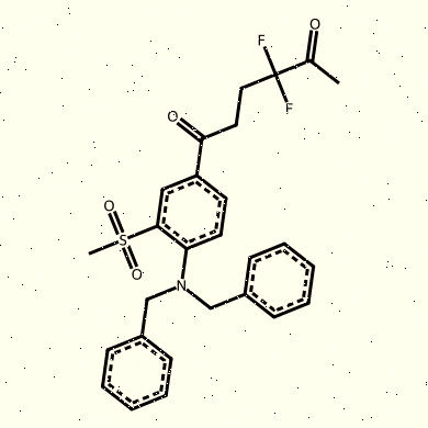 CC(=O)C(F)(F)CCC(=O)c1ccc(N(Cc2ccccc2)Cc2ccccc2)c(S(C)(=O)=O)c1